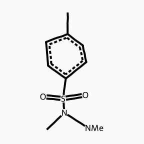 CNN(C)S(=O)(=O)c1ccc(C)cc1